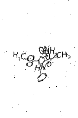 CCCC[S+]([O-])c1c(NCc2ccccc2)cc(C(=O)OCC)cc1S(N)(=O)=O